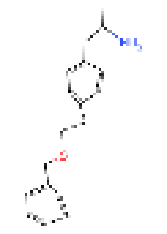 CC(N)Cc1ccc(CCOCc2ccccc2)cc1